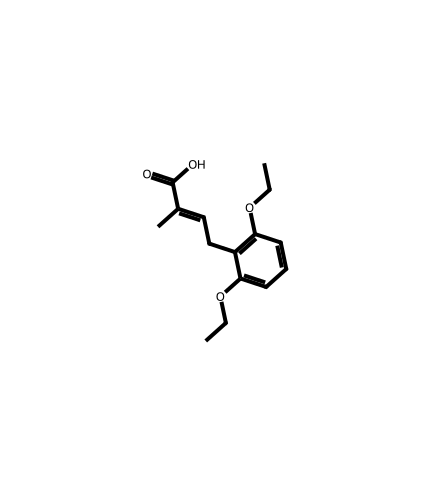 CCOc1cccc(OCC)c1C/C=C(\C)C(=O)O